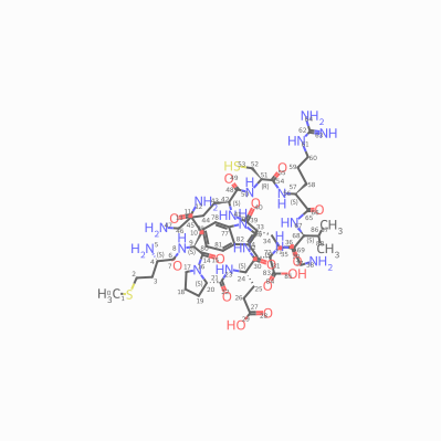 CSCC[C@H](N)C(=O)N[C@@H](CC(N)=O)C(=O)N1CCC[C@H]1C(=O)N[C@@H](CCC(=O)O)C(=O)N[C@@H](CCCCN)C(=O)N[C@@H](CCCCN)C(=O)N[C@@H](CS)C(=O)N[C@@H](CCCNC(=N)N)C(=O)N[C@H](C(=O)N[C@@H](Cc1c[nH]c2ccccc12)C(=O)O)C(C)C